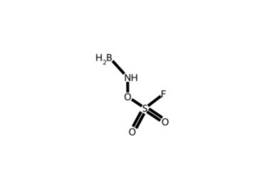 BNOS(=O)(=O)F